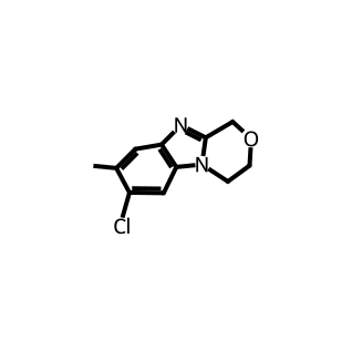 Cc1cc2nc3n(c2cc1Cl)CCOC3